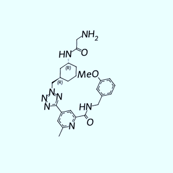 COc1cccc(CNC(=O)c2cc(-c3nnn(C[C@@H]4CCC[C@@H](NC(=O)CN)C4)n3)cc(C)n2)c1